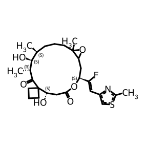 Cc1nc(C=C(F)[C@@H]2CC3OC3(C)CCC[C@H](C)[C@H](O)[C@@H](C)C(=O)C3(CCC3)[C@@H](O)CC(=O)O2)cs1